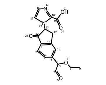 CCOC(C=O)c1ccc2c(c1)CC(n1ccnc1C(=O)O)C2=O